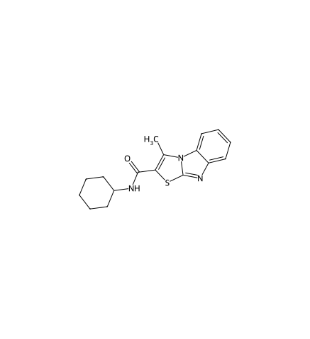 Cc1c(C(=O)NC2CCCCC2)sc2nc3ccccc3n12